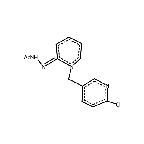 CC(=O)NN=c1ccccn1Cc1ccc(Cl)nc1